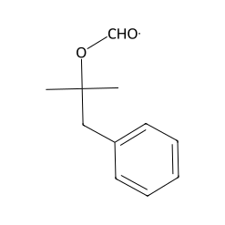 CC(C)(Cc1ccccc1)O[C]=O